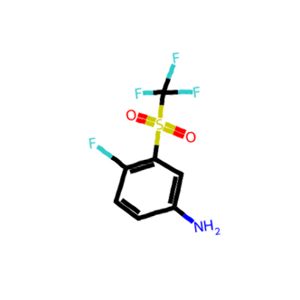 Nc1ccc(F)c(S(=O)(=O)C(F)(F)F)c1